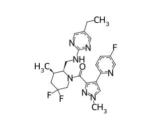 CCc1cnc(NC[C@@H]2[C@H](C)CC(F)(F)CN2C(=O)c2nn(C)cc2-c2ccc(F)cn2)nc1